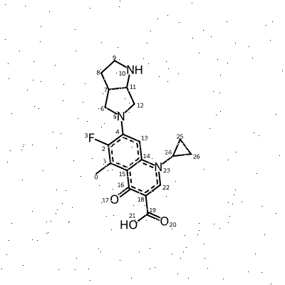 Cc1c(F)c(N2CC3CCNC3C2)cc2c1c(=O)c(C(=O)O)cn2C1CC1